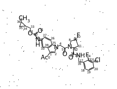 CC(=O)c1cn(CC(=O)N2C[C@H](F)C[C@H]2C(=O)NCc2cccc(Cl)c2F)c2ccc(NC(=O)OCC3CC3C)cc12